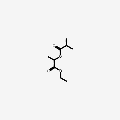 CCOC(=O)C(C)OC(=O)C(C)C